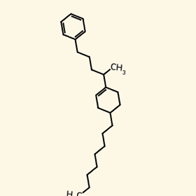 CCCCCCCCC1CC=C(C(C)CCCc2ccccc2)CC1